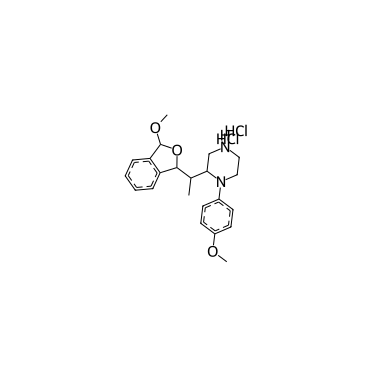 COc1ccc(N2CCNCC2C(C)C2OC(OC)c3ccccc32)cc1.Cl.Cl